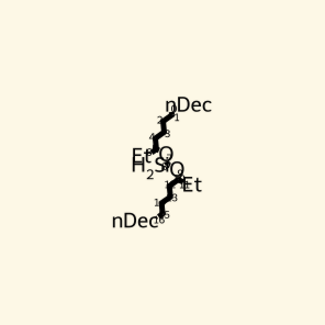 CCCCCCCCCCCCCCC(CC)O[SiH2]OC(CC)CCCCCCCCCCCCCC